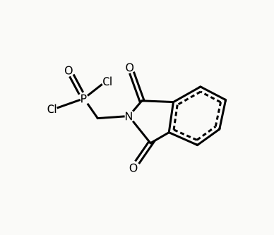 O=C1c2ccccc2C(=O)N1CP(=O)(Cl)Cl